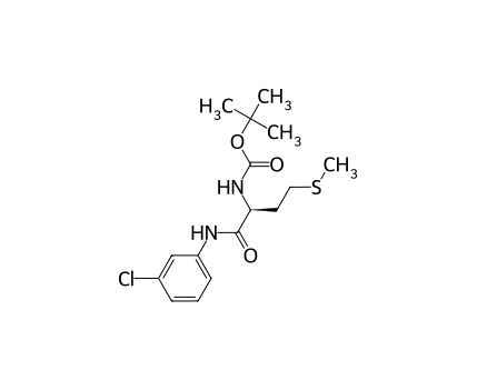 CSCC[C@H](NC(=O)OC(C)(C)C)C(=O)Nc1cccc(Cl)c1